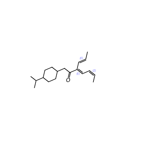 C\C=C/C=C(\C=C\C)C(=O)CC1CCC(C(C)C)CC1